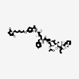 CC[C@H](C)[C@H](NC(=O)[C@@]1(C)CCCN1C)C(=O)N(C)[C@H](C[C@@H](OC(C)=O)c1nc(C(=O)N[C@@H](Cc2ccccc2)C[C@H](C)C(=O)N/N=C(/C)c2ccc(OCCCCCN3C(=O)C=CC3=O)cc2)cs1)C(C)C